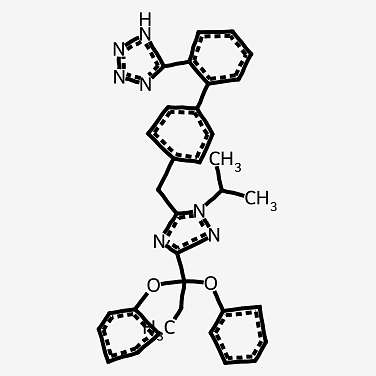 CCC(Oc1ccccc1)(Oc1ccccc1)c1nc(Cc2ccc(-c3ccccc3-c3nnn[nH]3)cc2)n(C(C)C)n1